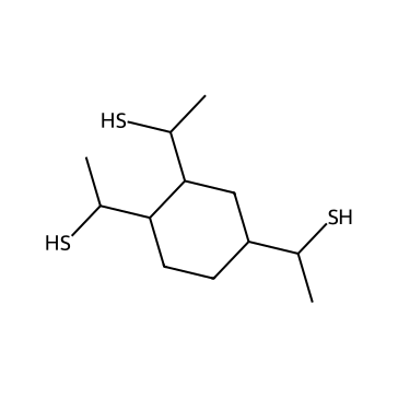 CC(S)C1CCC(C(C)S)C(C(C)S)C1